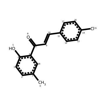 Cc1ccc(O)c(C(=O)C=Cc2ccc(Cl)cc2)c1